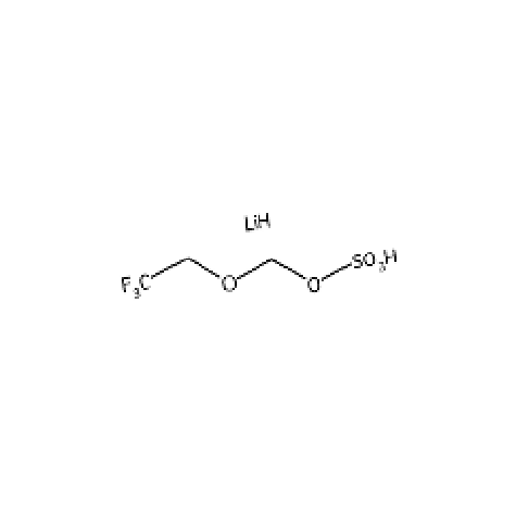 O=S(=O)(O)OCOCC(F)(F)F.[LiH]